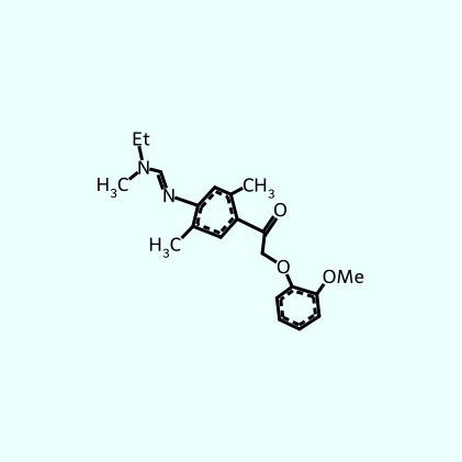 CCN(C)C=Nc1cc(C)c(C(=O)COc2ccccc2OC)cc1C